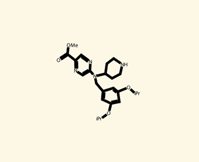 COC(=O)c1cnc(N(Cc2cc(OC(C)C)cc(OC(C)C)c2)C2CCNCC2)cn1